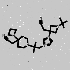 CC(C)(C)N1CC(CC#N)(n2cc[n+](CC(C)(C)N3CCC(CC#N)(N4CCC4)CC3)c2)C1